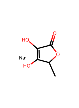 CC1OC(=O)C(O)=C1O.[Na]